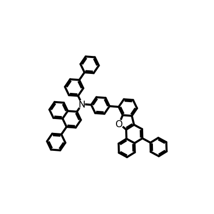 c1ccc(-c2cccc(N(c3ccc(-c4cccc5c4oc4c6ccccc6c(-c6ccccc6)cc54)cc3)c3ccc(-c4ccccc4)c4ccccc34)c2)cc1